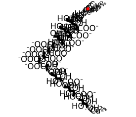 O=C([O-])CC(O)C(=O)[O-].O=C([O-])CC(O)C(=O)[O-].O=C([O-])CC(O)C(=O)[O-].O=C([O-])CC(O)C(=O)[O-].O=C([O-])CC(O)C(=O)[O-].O=C([O-])[C@H](O)[C@@H](O)[C@H](O)[C@H](O)CO.O=C([O-])[C@H](O)[C@@H](O)[C@H](O)[C@H](O)CO.O=C([O-])[C@H](O)[C@@H](O)[C@H](O)[C@H](O)CO.O=C([O-])[C@H](O)[C@@H](O)[C@H](O)[C@H](O)CO.O=C([O-])[C@H](O)[C@@H](O)[C@H](O)[C@H](O)CO.OC[C@@H](O)[C@H](O)[C@@H](O)CO.[Cu+2].[Cu+2].[Cu+2].[Cu+2].[Fe+3].[Fe+3].[Fe+3].[Fe+3].[OH-].[OH-].[OH-].[OH-].[OH-]